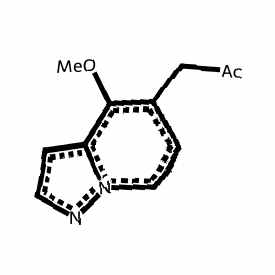 COc1c(CC(C)=O)ccn2nccc12